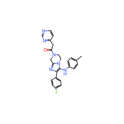 Cc1ccc(Nc2c(-c3ccc(F)cc3)nc3n2CCN(C(=O)Cc2ccncn2)C3)cc1